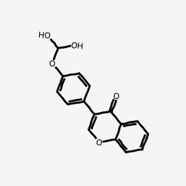 O=c1c(-c2ccc(OC(O)O)cc2)coc2ccccc12